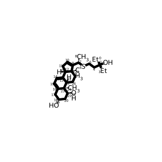 CCC(O)(CC)CCS[C@@H](C)C1=CC[C@H]2C3=CC=C4C[C@@H](O)C[C@H](O)[C@]4(C)[C@H]3CC[C@]12C